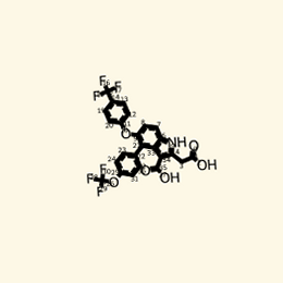 O=C(O)Cc1[nH]c2ccc(Oc3ccc(C(F)(F)F)cc3)c(-c3ccc(OC(F)(F)F)cc3)c2c1C(=O)O